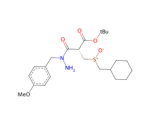 COc1ccc(CN(N)C(=O)[C@@H](C[S+]([O-])CC2CCCCC2)C(=O)OC(C)(C)C)cc1